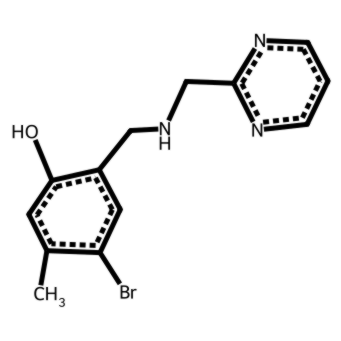 Cc1cc(O)c(CNCc2ncccn2)cc1Br